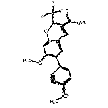 COc1ccc(-c2cc3c(cc2OC)OC(C(F)(F)F)C(C(=O)O)=C3)cc1